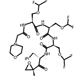 CC(C)C[C@H](NC(=O)[C@H](COC(F)F)NC(=O)[C@H](COC(F)F)NC(=O)[C@H](COC(F)F)NC(=O)CN1CCOCC1)C(=O)[C@]1(C)CO1